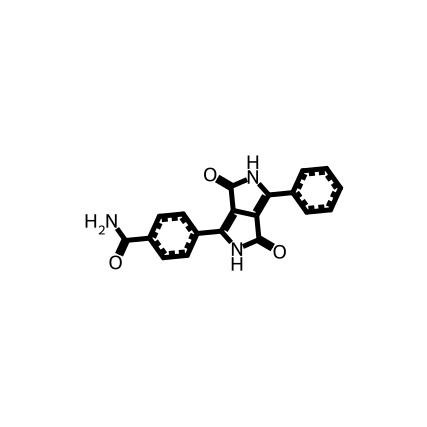 NC(=O)c1ccc(C2=C3C(=O)NC(c4ccccc4)=C3C(=O)N2)cc1